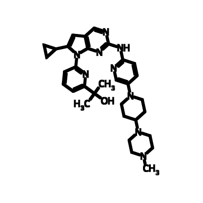 CN1CCN(C2CCN(c3ccc(Nc4ncc5cc(C6CC6)n(-c6cccc(C(C)(C)O)n6)c5n4)nc3)CC2)CC1